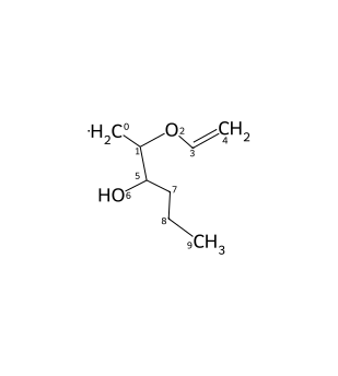 [CH2]C(OC=C)C(O)CCC